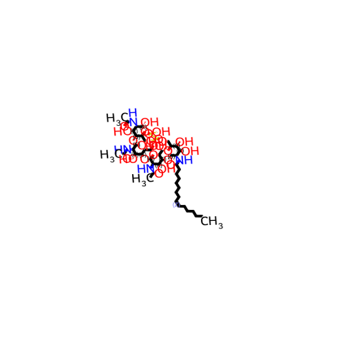 CCCCCC/C=C\CCCCCCCC(=O)NC1[C@H](O[C@@H]2C(CO)O[C@@H](O[C@@H]3C(CO)O[C@@H](O[C@@H]4C(COS(=O)(=O)O)O[C@@H](O)C(NC(C)=O)[C@H]4O)C(NC(C)=O)[C@H]3O)C(NC(C)=O)[C@H]2O)OC(CO)[C@@H](O)[C@@H]1O